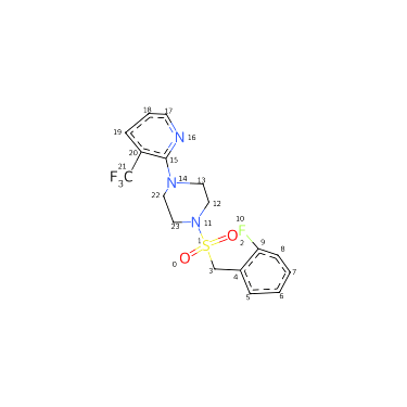 O=S(=O)(Cc1ccccc1F)N1CCN(c2ncccc2C(F)(F)F)CC1